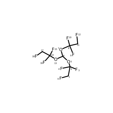 FCC(F)(F)OC(OC(F)(F)CF)OC(F)(F)CF